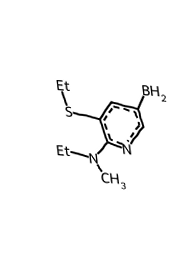 Bc1cnc(N(C)CC)c(SCC)c1